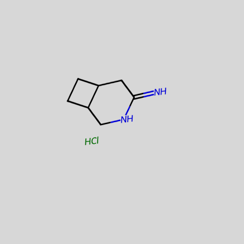 Cl.N=C1CC2CCC2CN1